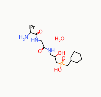 CC(C)C(N)C(=O)NCC(=O)NCC(O)CP(=O)(O)CC1CCCCC1.O